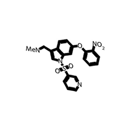 CNCc1cn(S(=O)(=O)c2cccnc2)c2cc(Oc3ccccc3[N+](=O)[O-])ccc12